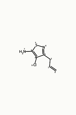 C=CCc1nsc(N)c1Cl